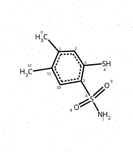 Cc1cc(S)c(S(N)(=O)=O)cc1C